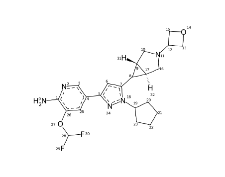 Nc1ncc(-c2cc(C3[C@@H]4CN(C5COC5)C[C@@H]34)n(C3CCCC3)n2)cc1OC(F)F